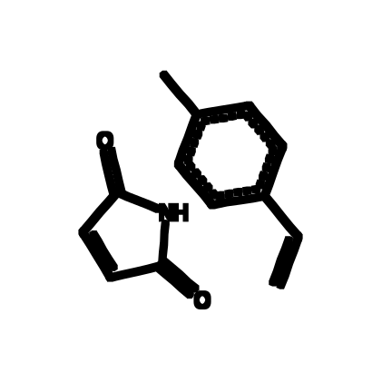 C=Cc1ccc(C)cc1.O=C1C=CC(=O)N1